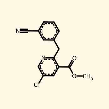 COC(=O)c1cc(Cl)cnc1Cc1cccc(C#N)c1